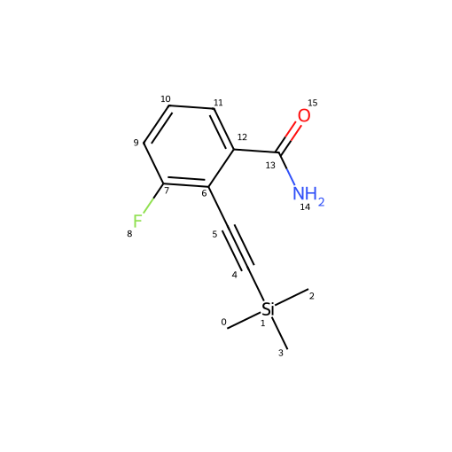 C[Si](C)(C)C#Cc1c(F)cccc1C(N)=O